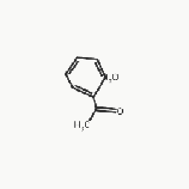 CC(=O)c1ccccc1.O